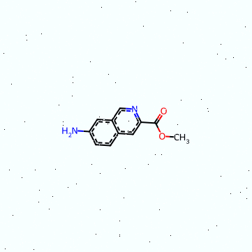 COC(=O)c1cc2ccc(N)cc2cn1